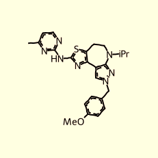 COc1ccc(Cn2cc3c(n2)N(C(C)C)CCc2sc(Nc4nccc(C)n4)nc2-3)cc1